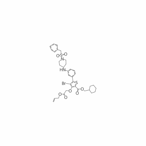 C=CCOC(=O)COc1c(C(=O)OCC2CCCCC2)sc(-c2cccc(NC3CCN(S(=O)(=O)Cc4ccccc4)CC3)c2)c1Br